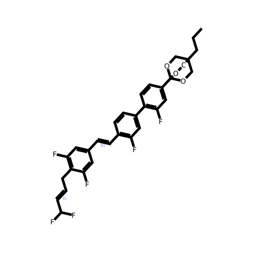 CCCC12COC(c3ccc(-c4ccc(/C=C/c5cc(F)c(C/C=C/C(F)F)c(F)c5)c(F)c4)c(F)c3)(OC1)OC2